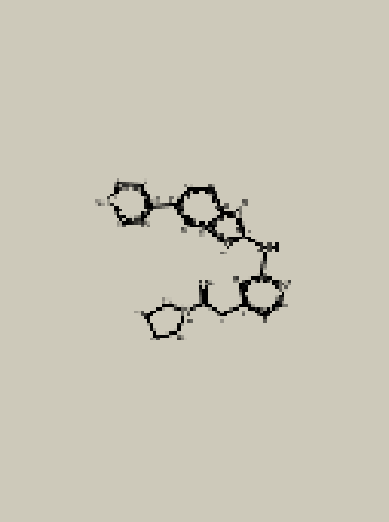 O=C(Cc1ccnc(Nc2nc3ccc(-c4ccncc4)cc3s2)c1)N1CCCC1